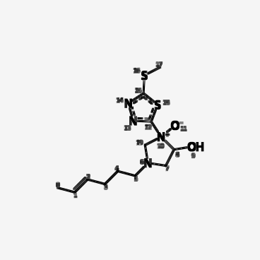 CC=CCCCN1CC(O)[N+]([O-])(c2nnc(SC)s2)C1